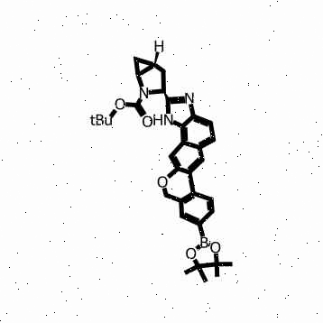 CC(C)(C)OC(=O)N1C2C[C@@H]2C[C@H]1c1nc2ccc3cc4c(cc3c2[nH]1)OCc1cc(B2OC(C)(C)C(C)(C)O2)ccc1-4